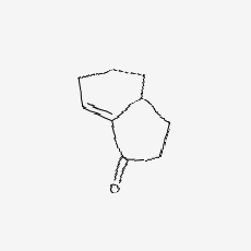 O=C1CCC2CCCC=C12